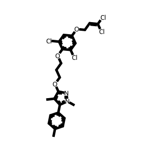 Cc1ccc(-c2c(C)c(OCCCOc3c(Cl)cc(OCC=C(Cl)Cl)cc3Cl)nn2C)cc1